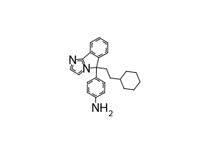 Nc1ccc(C2(CCC3CCCCC3)c3ccccc3-c3nccn32)cc1